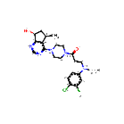 C[C@@H]1C[C@H](O)c2ncnc(N3CCN(C(=O)CCN(C(=O)O)c4ccc(Cl)c(F)c4)CC3)c21